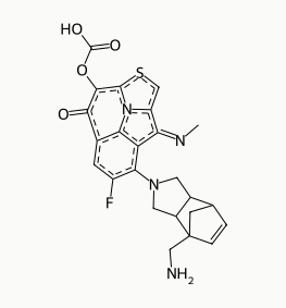 CN=c1c2c(N3CC4C5C=CC(CN)(C5)C4C3)c(F)cc3c(=O)c(OC(=O)O)c4scc1n4c32